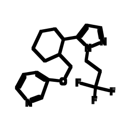 FC(F)(F)CCn1nccc1C1CCCCC1COc1cccnc1